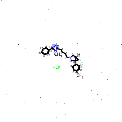 Cl.Cn1c(CCCCN2C[C@@H]3C[C@]3(c3ccc(C(F)(F)F)cc3F)C2)nnc1-c1ccccc1